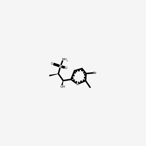 Cc1nc([C@@H](O)[C@@H](C)S(N)(=O)=O)ccc1Br